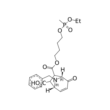 CCOP(C)(=O)OCCCCOC(=O)C1C(C(=O)O)[C@H]2C=CC(=O)[C@@H]1N2Cc1ccccc1